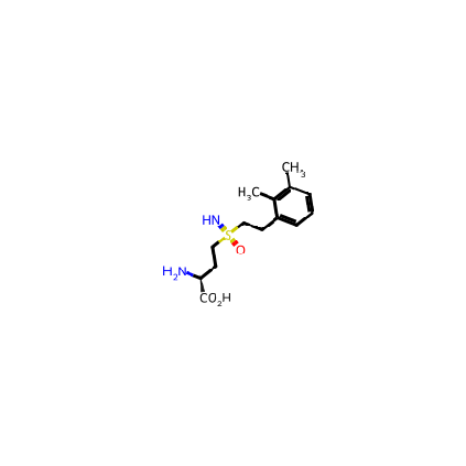 Cc1cccc(CCS(=N)(=O)CC[C@H](N)C(=O)O)c1C